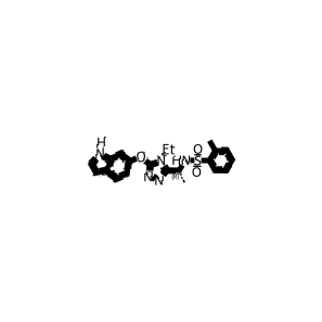 CCn1c(Oc2ccc3cc[nH]c3c2)nnc1[C@@H](C)NS(=O)(=O)c1ccccc1C